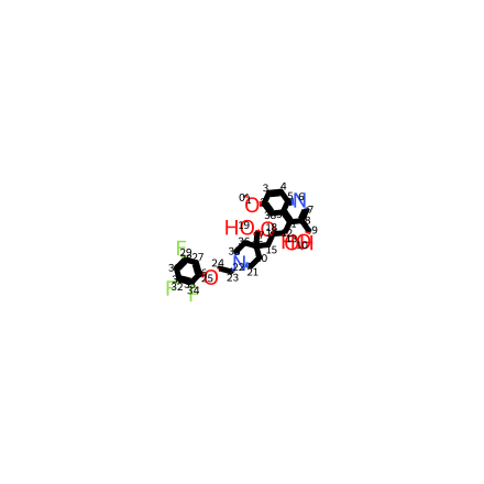 COc1ccc2ncc(CO)c(C(O)CCC3(C(=O)O)CCN(CCOc4cc(F)cc(F)c4F)CC3)c2c1